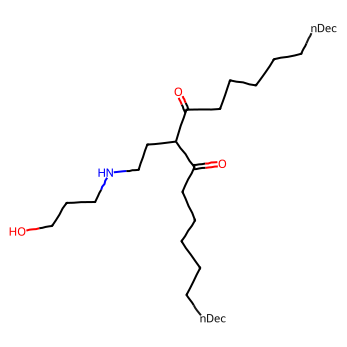 CCCCCCCCCCCCCCCC(=O)C(CCNCCCO)C(=O)CCCCCCCCCCCCCCC